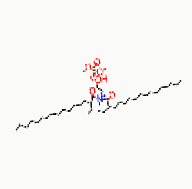 CCCCCCCCCCCCCCC(CC)C(=O)[N+](C)(CCO)C(=O)C(CC)CCCCCCCCCCCCCC.COS(=O)(=O)[O-]